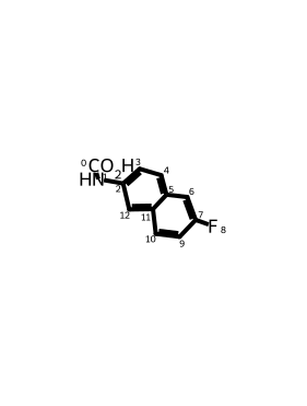 O=C(O)Nc1ccc2cc(F)ccc2c1